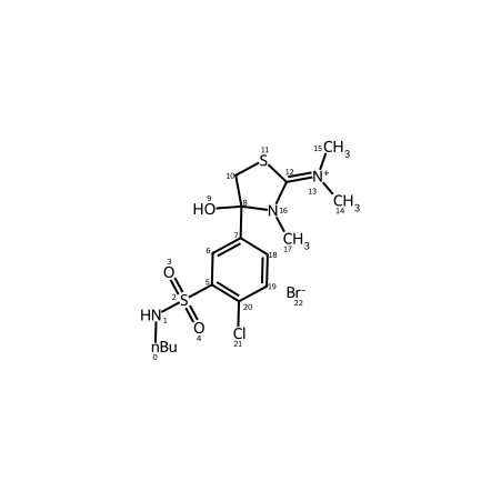 CCCCNS(=O)(=O)c1cc(C2(O)CSC(=[N+](C)C)N2C)ccc1Cl.[Br-]